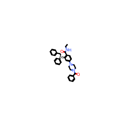 CCNC(=O)c1ccc(N2CCN(C(=O)c3ccccc3)CC2)cc1[As](Cc1ccccc1)c1ccccc1